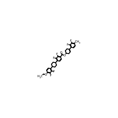 CCOc1ccc(C2CCC(c3ccc(C(=O)OC4CC=C(c5ccc(C)c(F)c5F)CC4)c(F)c3F)CC2)c(F)c1F